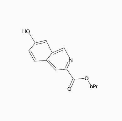 CCCOC(=O)c1cc2ccc(O)cc2cn1